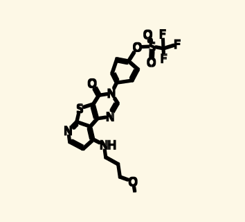 COCCCNc1ccnc2sc3c(=O)n(-c4ccc(OS(=O)(=O)C(F)(F)F)cc4)cnc3c12